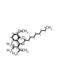 CCCCCCCCC(C)OC(=C(C(C)C)C(C)C)c1cccc(OC)c1